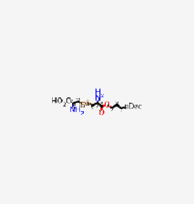 CCCCCCCCCCCCCOC(=O)[C@@H](N)CSSC[C@H](N)C(=O)O